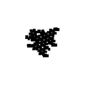 Cc1cc2c3c(c1)N(c1ccc4c(c1)-c1ccccc1C4(C)C)c1cc(N(c4ccc(C(C)(C)C)cc4)c4ccc(C(C)(C)C)cc4C)ccc1B3c1cc(C(C)(C)C)ccc1N2c1ccc(C(C)(C)C)cc1